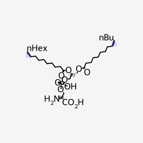 CCCC/C=C\CCCCCCCC(=O)OC[C@H](COP(=O)(O)OC[C@H](N)C(=O)O)OC(=O)CCCCCCC/C=C\CCCCCC